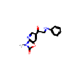 Cn1c(=O)oc2cc(C(=O)CNc3ccccc3)cnc21